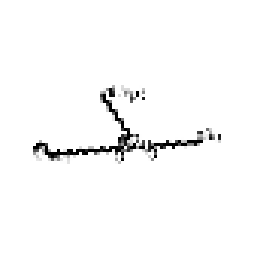 CCCC/C=C\CCCCCCCC(=O)OC[C@H](COC(=O)CCCCCCCCCCC/C=C\C/C=C\CCCCC)OC(=O)CCCCCCC/C=C\CCCCCCC